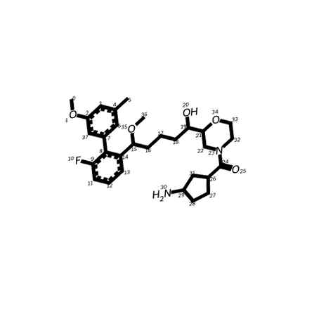 COc1cc(C)cc(-c2c(F)cccc2C(CCCC(O)C2CN(C(=O)C3CCC(N)C3)CCO2)OC)c1